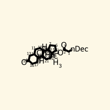 CCCCCCCCCCCC(=O)O[C@H]1CC[C@H]2[C@@H]3CCC4CC(=O)CC[C@]4(C)[C@H]3CC[C@]12C